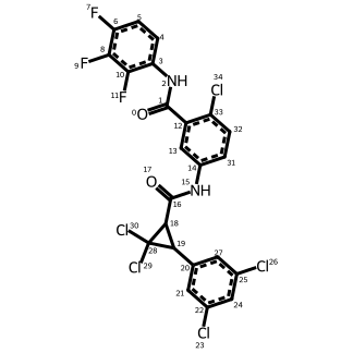 O=C(Nc1ccc(F)c(F)c1F)c1cc(NC(=O)C2C(c3cc(Cl)cc(Cl)c3)C2(Cl)Cl)ccc1Cl